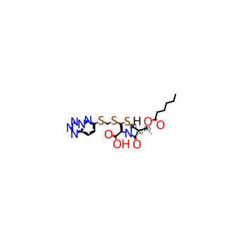 CCCCCC(=O)O[C@H](C)[C@H]1C(=O)N2C(C(=O)O)=C(SCSc3ccc4nnnn4n3)S[C@H]12